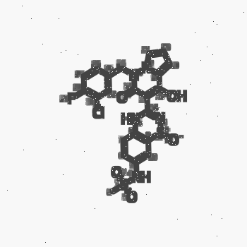 CS(=O)(=O)Nc1ccc2c(c1)[S+]([O-])N=C(c1c(O)c3cccn3n(Cc3ccc(F)c(Cl)c3)c1=O)N2